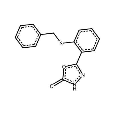 O=c1[nH]nc(-c2ccccc2SCc2ccccc2)o1